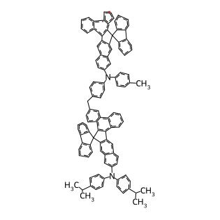 Cc1ccc(N(c2ccc(Cc3ccc4c5c(c6ccccc6c4c3)-c3cc4ccc(N(c6ccc(C(C)C)cc6)c6ccc(C(C)C)cc6)cc4cc3C53c4ccccc4-c4ccccc43)cc2)c2ccc3cc4c(cc3c2)C2(c3ccccc3-c3ccccc32)c2c-4c3ccccc3c3ccccc23)cc1